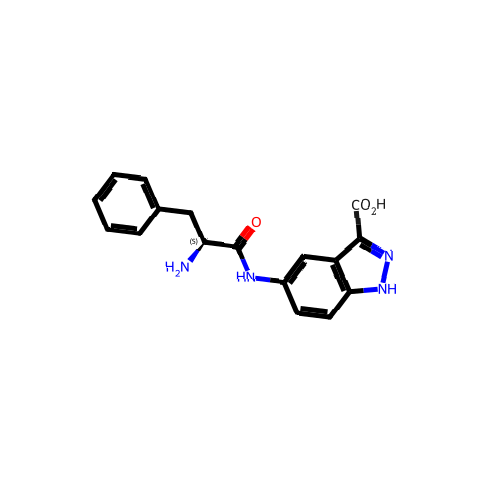 N[C@@H](Cc1ccccc1)C(=O)Nc1ccc2[nH]nc(C(=O)O)c2c1